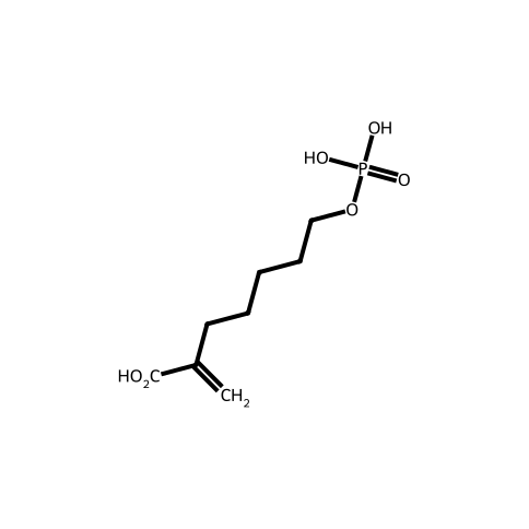 C=C(CCCCCOP(=O)(O)O)C(=O)O